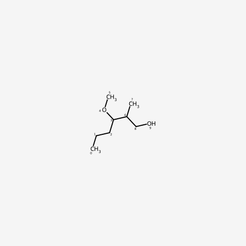 CCCC(OC)C(C)CO